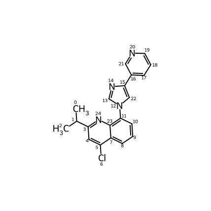 CC(C)c1cc(Cl)c2cccc(-n3cnc(-c4cccnc4)c3)c2n1